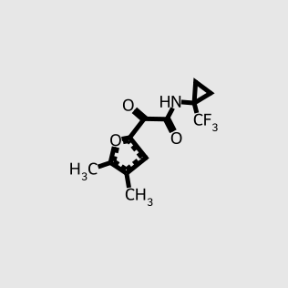 Cc1cc(C(=O)C(=O)NC2(C(F)(F)F)CC2)oc1C